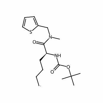 [CH2]CCC[C@H](NC(=O)OC(C)(C)C)C(=O)N(C)Cc1cccs1